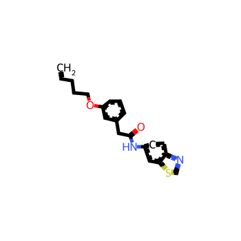 C=CCCCOc1cccc(CC(=O)Nc2ccc3ncsc3c2)c1